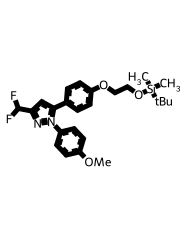 COc1ccc(-n2nc(C(F)F)cc2-c2ccc(OCCO[Si](C)(C)C(C)(C)C)cc2)cc1